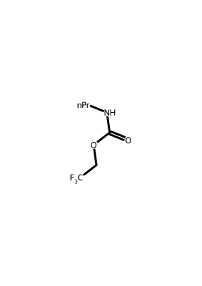 CCCNC(=O)OCC(F)(F)F